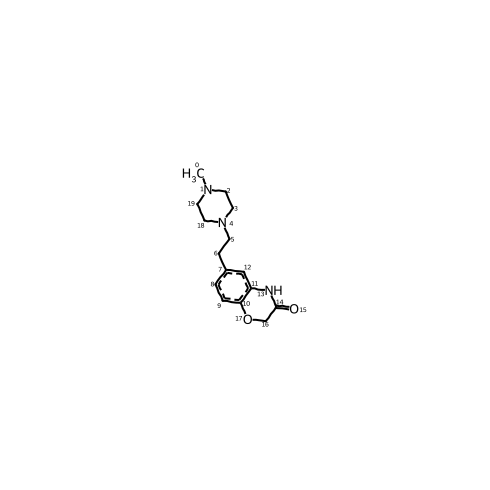 CN1CCN(CCc2ccc3c(c2)NC(=O)CO3)CC1